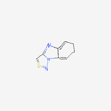 C1=S=Nn2c1nc1c2=CCCC=1